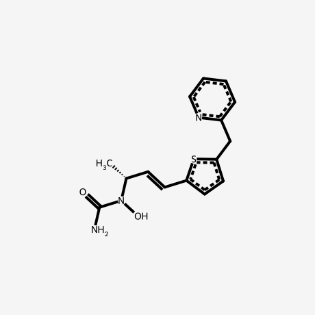 C[C@H](C=Cc1ccc(Cc2ccccn2)s1)N(O)C(N)=O